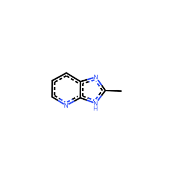 Cc1nc2cccnc2[nH]1